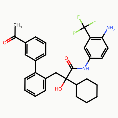 CC(=O)c1cccc(-c2ccccc2CC(O)(C(=O)Nc2ccc(N)c(C(F)(F)F)c2)C2CCCCC2)c1